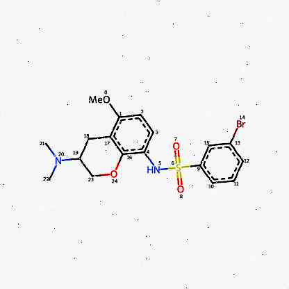 COc1ccc(NS(=O)(=O)c2cccc(Br)c2)c2c1CC(N(C)C)CO2